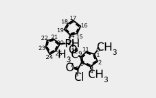 Cc1cc(C)c(C(=O)Cl)c(C)c1.O=[PH](c1ccccc1)c1ccccc1